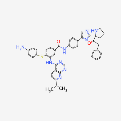 CC(C)c1ccc2c(Nc3cc(C(=O)Nc4ccc(-c5c[nH]c(C6(C(=O)Cc7ccccc7)CCCN6)n5)cc4)ccc3Sc3ccc(N)cc3)ncnc2n1